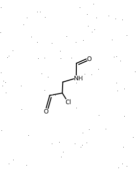 O=CNCC(Cl)C=O